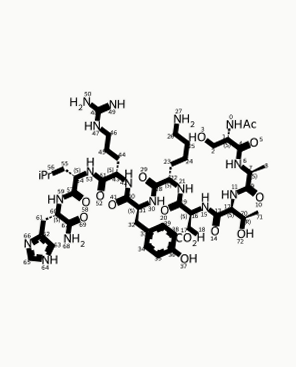 CC(=O)N[C@@H](CO)C(=O)N[C@@H](C)C(=O)N[C@H](C(=O)N[C@@H](CC(=O)O)C(=O)N[C@@H](CCCCN)C(=O)N[C@@H](Cc1ccc(O)cc1)C(=O)N[C@@H](CCCNC(=N)N)C(=O)N[C@@H](CC(C)C)C(=O)N[C@@H](Cc1c[nH]cn1)C(N)=O)[C@@H](C)O